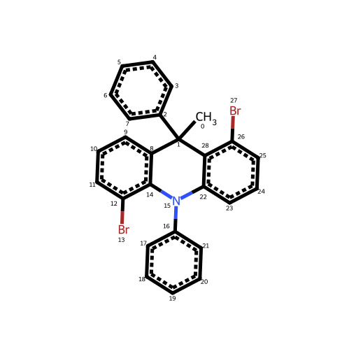 CC1(c2ccccc2)c2cccc(Br)c2N(c2ccccc2)c2cccc(Br)c21